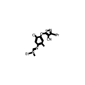 CCN(C)C=Nc1cc(Cl)c(Oc2snc(C(C)C)c2C#N)cc1C